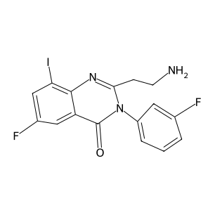 NCCc1nc2c(I)cc(F)cc2c(=O)n1-c1cccc(F)c1